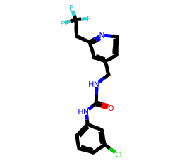 O=C(NCc1ccnc(CC(F)(F)F)c1)Nc1cccc(Cl)c1